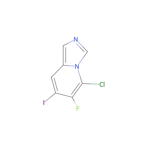 Fc1c(I)cc2cncn2c1Cl